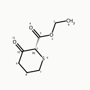 CCOC(=O)[C@@H]1SCCCC1=O